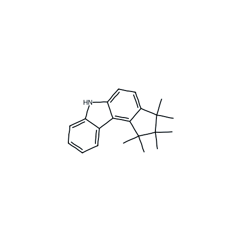 CC1(C)c2ccc3[nH]c4ccccc4c3c2C(C)(C)C1(C)C